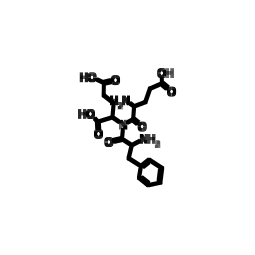 NC(CCC(=O)O)C(=O)N(C(=O)C(N)Cc1ccccc1)C(CCC(=O)O)C(=O)O